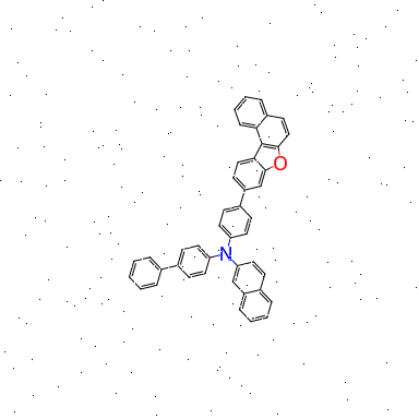 c1ccc(-c2ccc(N(c3ccc(-c4ccc5c(c4)oc4ccc6ccccc6c45)cc3)c3ccc4ccccc4c3)cc2)cc1